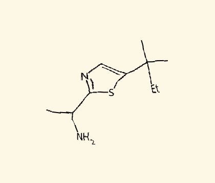 CCC(C)(C)c1cnc(C(C)N)s1